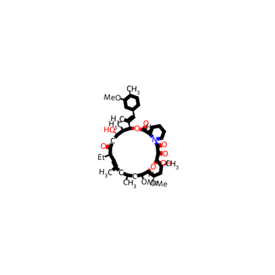 CC[C@@H]1/C=C(\C)C[C@H](C)C[C@H](OC)[C@H]2O[C@@](O)(C(=O)C(=O)N3CCCC[C@H]3C(=O)O[C@H](/C(C)=C/[C@@H]3CC[C@@H](C)[C@H](OC)C3)[C@H](C)[C@@H](O)CC1=O)[C@H](C)C[C@@H]2OC